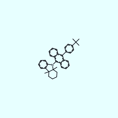 CC(C)(C)c1ccc(-c2c3ccccc3c(N3c4ccccc4C4(C)CCCCC34C)c3ccccc23)cc1